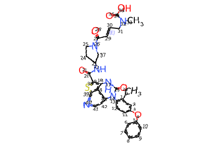 Cc1cc(Oc2ccccc2)ccc1N1C(=O)Nc2c(C(=O)NC3CCN(C(=O)/C=C/CN(C)C(=O)O)C3)sc3nccc1c23